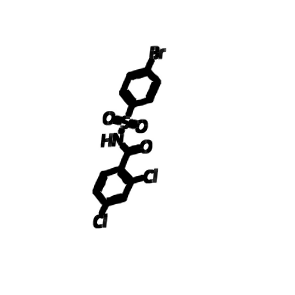 O=C(NS(=O)(=O)c1ccc(Br)cc1)c1ccc(Cl)cc1Cl